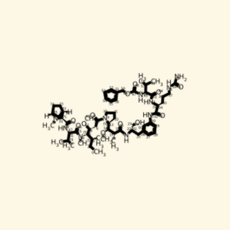 CC[C@H](C)[C@@H]([C@@H](CC(=O)N1CCC[C@H]1[C@H](OC)[C@@H](C)C(=O)N[C@H](CO)Cc1cccc(NC(=O)[C@H](CCCNC(N)=O)NC(=O)[C@@H](NC(=O)OCc2ccccc2)C(C)C)c1)OC)N(C)C(=O)[C@@H](NC(=O)[C@@H]1[C@H]2CC[C@H](C2)N1C)C(C)C